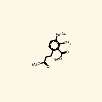 COC(=O)CCc1ccc(NC(C)=O)c(N)c1C(=O)OC